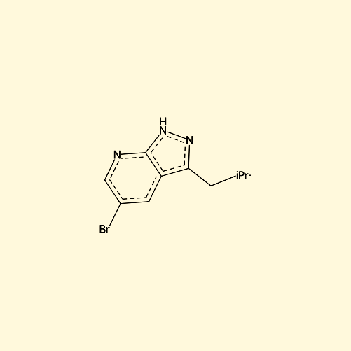 C[C](C)Cc1n[nH]c2ncc(Br)cc12